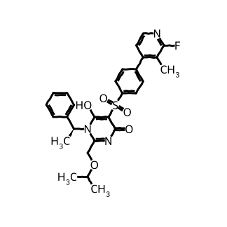 Cc1c(-c2ccc(S(=O)(=O)c3c(O)n([C@@H](C)c4ccccc4)c(COC(C)C)nc3=O)cc2)ccnc1F